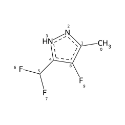 Cc1n[nH]c(C(F)F)c1F